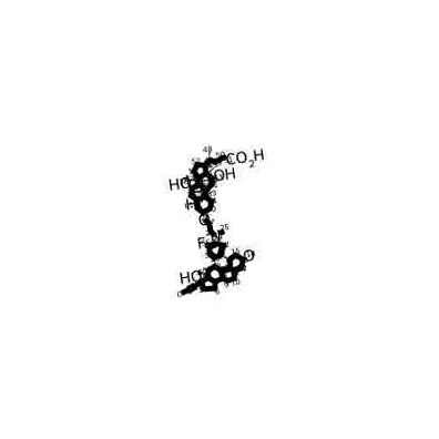 CC#C[C@]1(O)CCC2C3CCC4=CC(=O)CCC4=C3[C@@H](c3ccc(N(C)CCO[C@H]4CC[C@@]5(C)[C@@H](C4)C[C@@H](O)[C@@H]4[C@@H]5C[C@H](O)[C@]5(C)C([C@H](C)CCC(=O)O)CC[C@@H]45)c(F)c3)C[C@@]21C